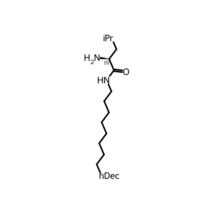 CCCCCCCCCCCCCCCCCCNC(=O)[C@@H](N)CC(C)C